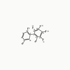 Fc1ccc(F)c(-c2c(F)c(F)c(F)c(F)c2F)c1